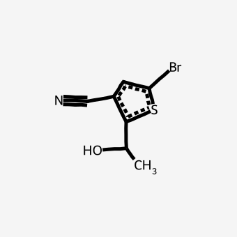 CC(O)c1sc(Br)cc1C#N